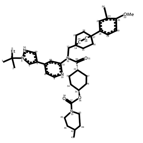 CCC(C)(C)n1cc(-c2ccnc(N(CC34CCC(c5ccc(OC)c(C)c5)(CC3)CC4)C(=O)[C@H]3CC[C@H](OC(=O)N4CCC(C)CC4)CC3)c2)cn1